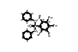 O=P(Oc1ccccc1)(Oc1ccccc1)c1c(F)c(F)c(F)c(F)c1F